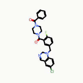 O=C(c1ccccc1)N1CCN(C(=O)c2cc(CN3CN=Cc4cc(Cl)ccc43)ccc2F)CC1